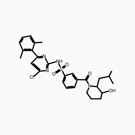 Cc1cccc(C)c1-c1cc(Cl)nc(NS(=O)(=O)c2cccc(C(=O)N3CCCC(O)C3CC(C)C)c2)n1